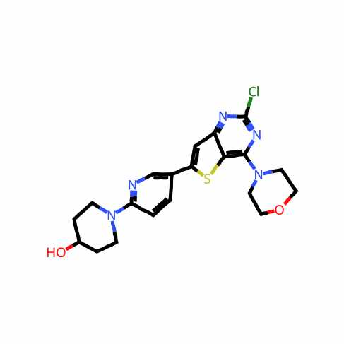 OC1CCN(c2ccc(-c3cc4nc(Cl)nc(N5CCOCC5)c4s3)cn2)CC1